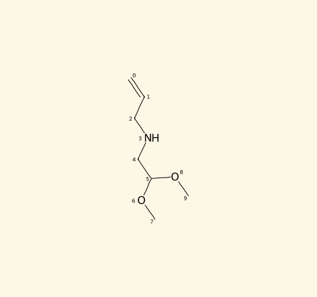 C=CCNCC(OC)OC